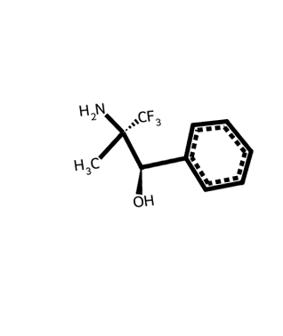 C[C@@](N)([C@H](O)c1ccccc1)C(F)(F)F